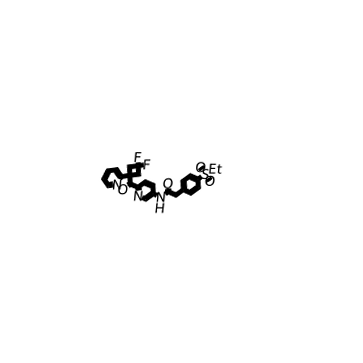 CCS(=O)(=O)c1ccc(CC(=O)Nc2ccc(C(=O)C3(c4ccccn4)CC(F)(F)C3)nc2)cc1